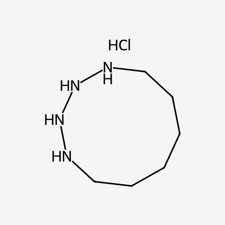 C1CCCNNNNCC1.Cl